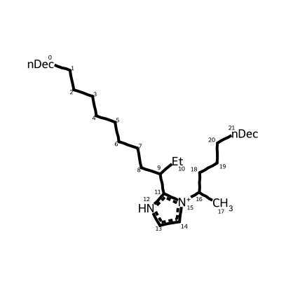 CCCCCCCCCCCCCCCCCCC(CC)c1[nH]cc[n+]1C(C)CCCCCCCCCCCCC